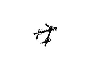 CCCCCCCC(=O)N(CCCN1CCCC1)C(CCCCCCCCC(=O)OCC(CCCC)CCCCCC)CCCCCCCCC(=O)OCC(CCCC)CCCCCC